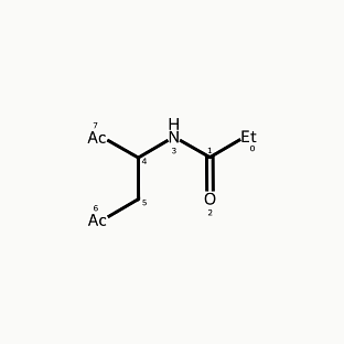 CCC(=O)NC(CC(C)=O)C(C)=O